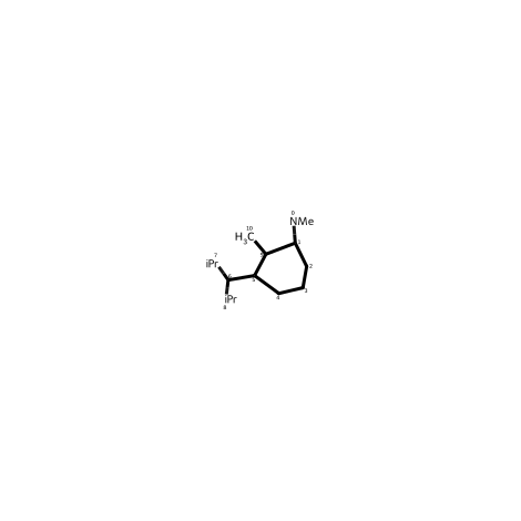 CNC1CCCC(C(C(C)C)C(C)C)C1C